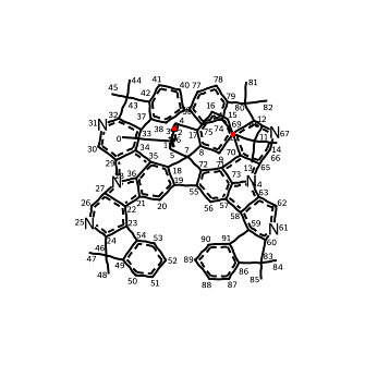 Cc1ccc2c(c1)C1(c3cc(C(C)(C)C)ccc3-2)c2c(cc3c4c5c(ncc4n4c6cnc7c(c6c2c34)-c2ccccc2C7(C)C)C(C)(C)c2ccccc2-5)-c2cc3c4c5c(ncc4n4c6cnc7c(c6c(c21)c34)-c1ccccc1C7(C)C)C(C)(C)c1ccccc1-5